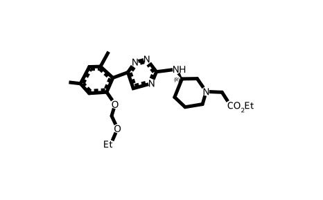 CCOCOc1cc(C)cc(C)c1-c1cnc(N[C@@H]2CCCN(CC(=O)OCC)C2)nn1